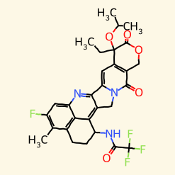 CCC1(OC(C)C)C(=O)OCc2c1cc1n(c2=O)Cc2c-1nc1cc(F)c(C)c3c1c2C(NC(=O)C(F)(F)F)CC3